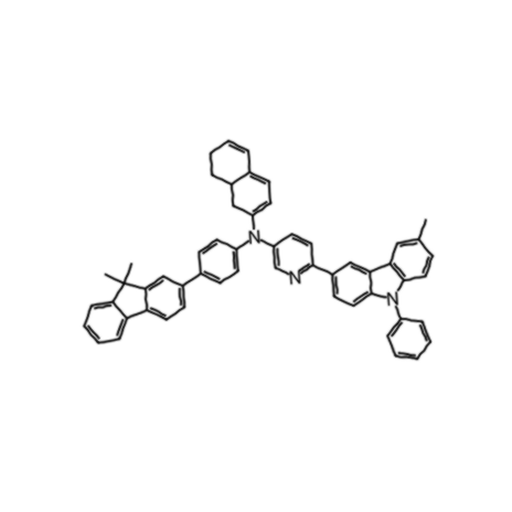 Cc1ccc2c(c1)c1cc(-c3ccc(N(C4=CC=C5C=CCCC5C4)c4ccc(-c5ccc6c(c5)C(C)(C)c5ccccc5-6)cc4)cn3)ccc1n2-c1ccccc1